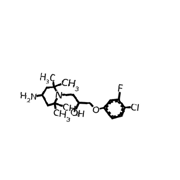 CC1(C)CC(N)CC(C)(C)N1CC(O)COc1ccc(Cl)c(F)c1